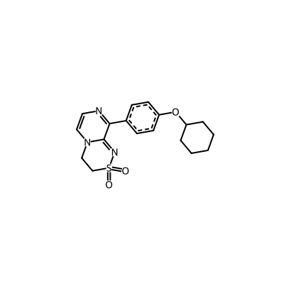 O=S1(=O)CCN2C=CN=C(c3ccc(OC4CCCCC4)cc3)C2=N1